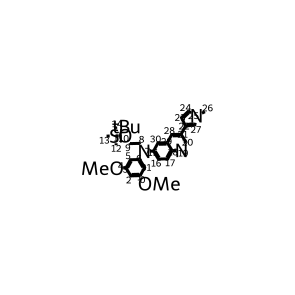 COc1cc(OC)cc(N(CCO[Si](C)(C)C(C)(C)C)c2ccc3ncc(-c4ccn(C)c4)cc3c2)c1